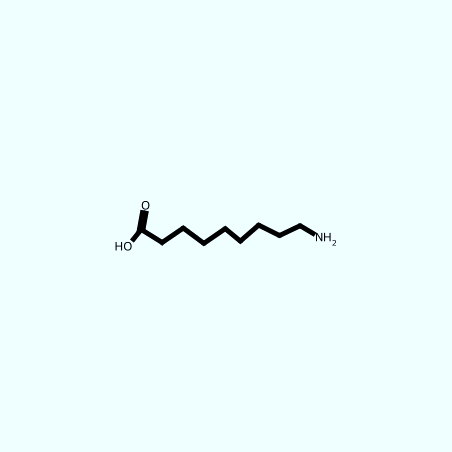 NCCCCCCC[CH]C(=O)O